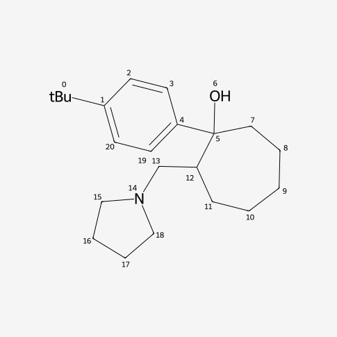 CC(C)(C)c1ccc(C2(O)CCCCCC2CN2CCCC2)cc1